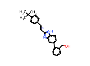 CC(C)(C)c1ccc(/C=C/c2nc3cc(-c4ccccc4CO)ccc3[nH]2)cc1